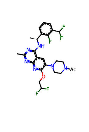 CC(=O)N1CCN(c2cc3c(N[C@H](C)c4cccc(C(F)F)c4F)nc(C)nc3nc2OCC(F)F)CC1